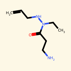 C=CCNN(CC)C(=O)CCN